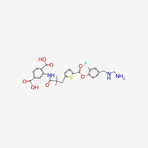 CC(C)(Cc1ccc(C(=O)Oc2ccc(CNCN)cc2F)s1)C(=O)Nc1cc(C(=O)O)ccc1C(=O)O